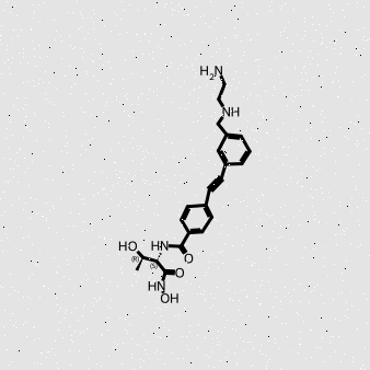 C[C@@H](O)[C@H](NC(=O)c1ccc(C#Cc2cccc(CNCCN)c2)cc1)C(=O)NO